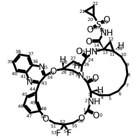 O=C1N[C@H]2CCCCCCC[C@@H]3C[C@@]3(C(=O)NS(=O)(=O)C3CC3)NC(=O)[C@@H]3C[C@H](CN3C2=O)Oc2nc3ccccc3nc2-c2cccc(c2)OCC(F)(F)CO1